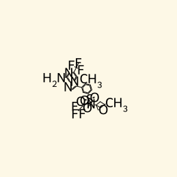 Cc1ccc(S(=O)(=O)N(OC(=O)C(F)(F)F)C23COC(C)(C2)C3)cc1-c1cnc2c(N)nc(C(F)(F)F)cn12